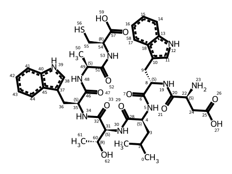 CC(C)C[C@H](NC(=O)[C@H](Cc1c[nH]c2ccccc12)NC(=O)[C@@H](N)CC(=O)O)C(=O)N[C@H](C(=O)N[C@@H](Cc1c[nH]c2ccccc12)C(=O)N[C@@H](C)C(=O)N[C@@H](CS)C(=O)O)[C@@H](C)O